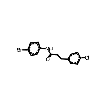 O=C(CCc1ccc(Cl)cc1)Nc1ccc(Br)cc1